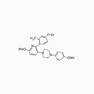 CCOc1ccc(-c2nc(OC)ccc2N2CCN(c3ccc(OC)cc3)CC2)c(C)c1